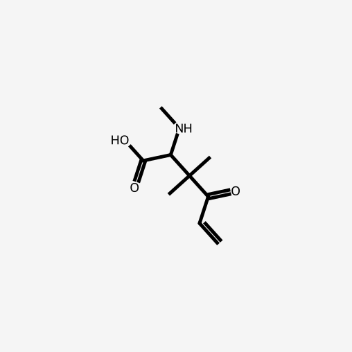 C=CC(=O)C(C)(C)C(NC)C(=O)O